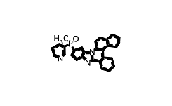 CP(=O)(c1cccnc1)c1ccc2nc3c4ccccc4c4c5ccccc5ccc4n3c2c1